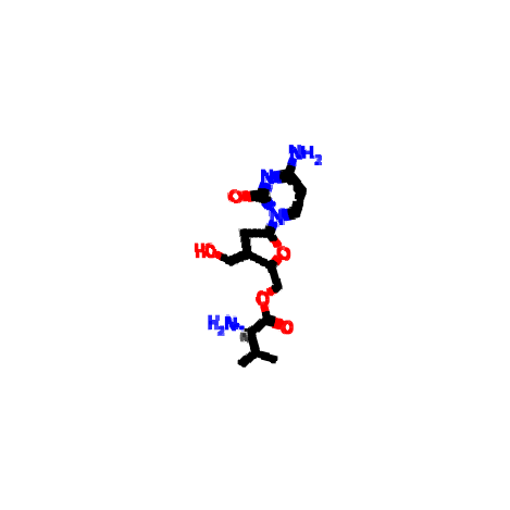 CC(C)[C@H](N)C(=O)OCC1OC(n2ccc(N)nc2=O)CC1CO